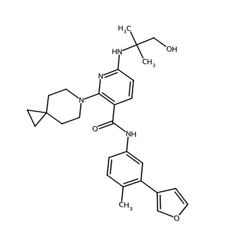 Cc1ccc(NC(=O)c2ccc(NC(C)(C)CO)nc2N2CCC3(CC2)CC3)cc1-c1ccoc1